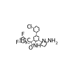 CC1(Cc2cc(F)cc(F)c2)C(=O)Nc2c(-c3cccc(N)n3)cc(-c3cccc(Cl)c3)cc21